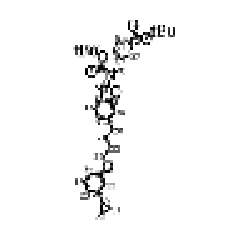 CC(C)(C)OC(=O)N1CC[C@H](CN(C(=O)OC(C)(C)C)c2nc3ccc(CCCCOc4cccc(C5CC5)c4)cc3o2)C1